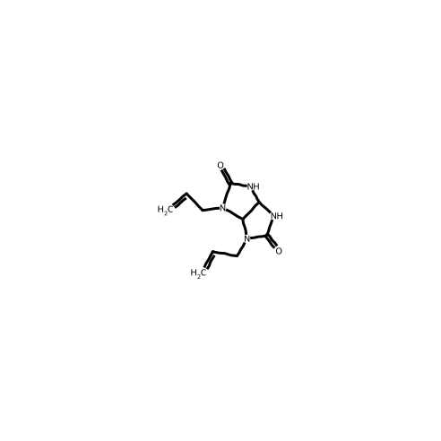 C=CCN1C(=O)NC2NC(=O)N(CC=C)C21